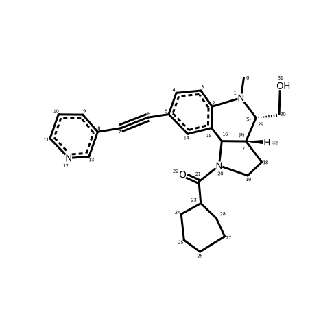 CN1c2ccc(C#Cc3cccnc3)cc2C2[C@@H](CCN2C(=O)C2CCCCC2)[C@H]1CO